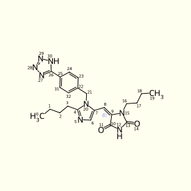 CCCCc1ncc(/C=C2\C(=O)NC(=O)N2CCCC)n1Cc1ccc(-c2nnn[nH]2)cc1